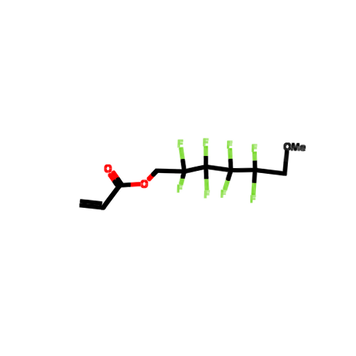 C=CC(=O)OCC(F)(F)C(F)(F)C(F)(F)C(F)(F)COC